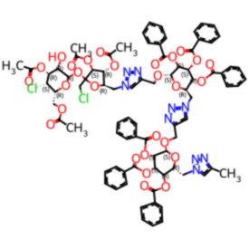 CC(=O)OC[C@H]1O[C@H](OC2(CCl)O[C@H](Cn3cc(CO[C@H]4O[C@H](Cn5cc(CO[C@H]6O[C@H](Cn7cc(C)nn7)[C@@H](OC(=O)c7ccccc7)[C@H](OC(=O)c7ccccc7)[C@@H]6OC(=O)c6ccccc6)nn5)[C@@H](OC(=O)c5ccccc5)[C@H](OC(=O)c5ccccc5)[C@@H]4OC(=O)c4ccccc4)nn3)[C@@H](OC(C)=O)[C@@H]2OC(C)=O)[C@H](O)[C@@H](OC(C)=O)[C@H]1Cl